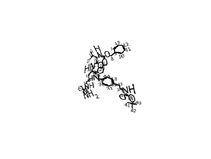 CC(C)[C@H](NC(=O)OCc1ccccc1)C(=O)NC(CCCNC(N)=O)C(=O)Nc1ccc(CCNC(=O)OC(C)(C)C)cc1